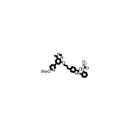 COc1ccc(-c2cc(OCCCc3ccc(C(=O)Nc4ccccc4OC(N)=O)cc3)c3ncnc(C)c3c2)cn1